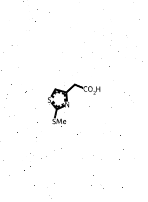 [CH2]Sc1nc(CC(=O)O)cs1